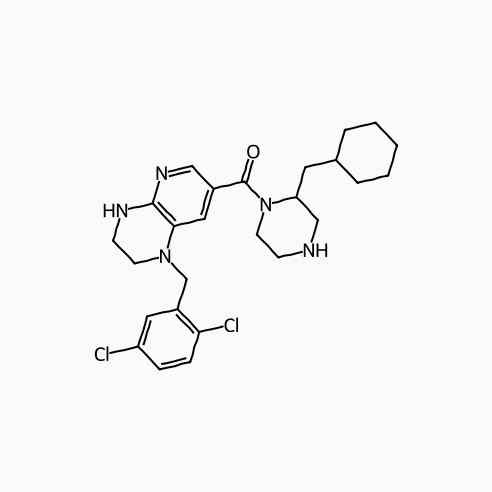 O=C(c1cnc2c(c1)N(Cc1cc(Cl)ccc1Cl)CCN2)N1CCNCC1CC1CCCCC1